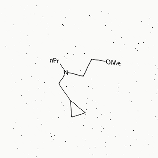 CCCN(CCOC)CC1CC1